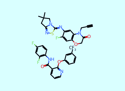 C#CCN1C(=O)COc2cc(F)c(/N=c3\snc4n3CC(C)(C)C4)cc21.O=C(Nc1ccc(F)cc1F)c1cccnc1Oc1cccc(C(F)(F)F)c1